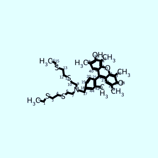 CCSCCSCCN(CCSCCSCC)Cc1ccc(-c2c3cc(C)c(=O)c(C)c-3oc3c(C)c(O)c(C)cc23)c(C)c1